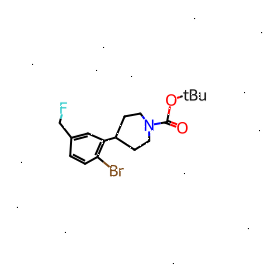 CC(C)(C)OC(=O)N1CCC(c2cc(CF)ccc2Br)CC1